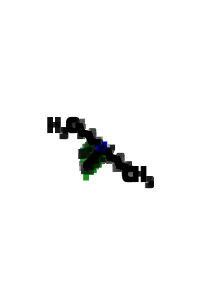 CCCCCCN(CCCCCC)C(F)(F)C(F)(F)CF